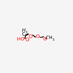 COCCOCCOC=C(C)C(=O)O